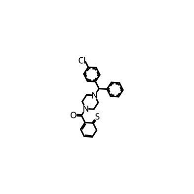 O=C(C1=CC=CCC1=S)N1CCN(C(c2ccccc2)c2ccc(Cl)cc2)CC1